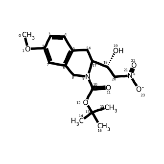 COc1ccc2c(c1)CN(C(=O)OC(C)(C)C)C([C@H](O)C[N+](=O)[O-])C2